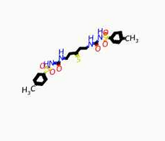 Cc1ccc(S(=O)(=O)NC(=O)NCCC(=S)CCNC(=O)NS(=O)(=O)c2ccc(C)cc2)cc1